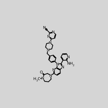 CN1CCCN(c2ccc3nc(-c4cccnc4N)n(-c4ccc(CN5CCN(c6ccnc(C#N)n6)CC5)cc4)c3n2)CC1=O